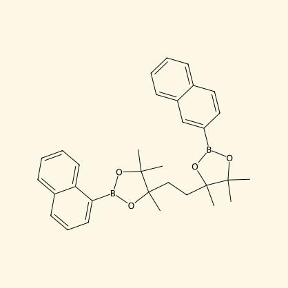 CC1(C)OB(c2ccc3ccccc3c2)OC1(C)CCC1(C)OB(c2cccc3ccccc23)OC1(C)C